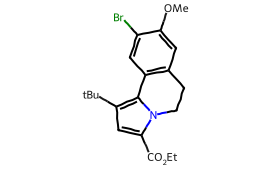 CCOC(=O)c1cc(C(C)(C)C)c2n1CCc1cc(OC)c(Br)cc1-2